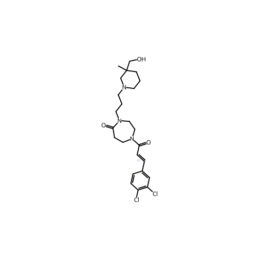 CC1(CO)CCCN(CCCN2CCN(C(=O)/C=C/c3ccc(Cl)c(Cl)c3)CCC2=O)C1